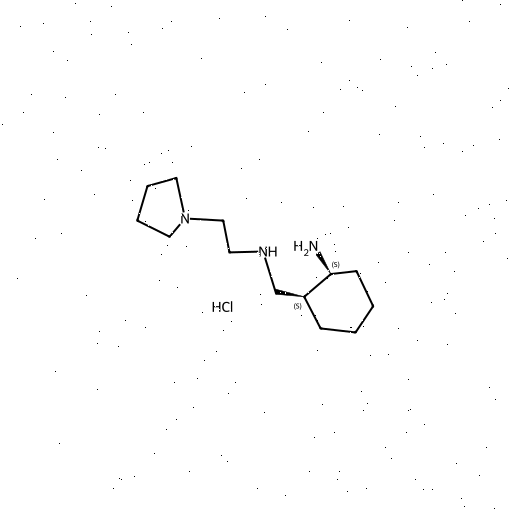 Cl.N[C@H]1CCCC[C@H]1CNCCN1CCCC1